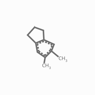 Cc1cc2c(cc1C)C[CH]C2